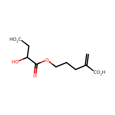 C=C(CCCOC(=O)C(O)CC(=O)O)C(=O)O